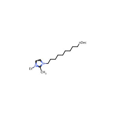 CCCCCCCCCCCCCCCCCCCn1cc[n+](CC)c1C